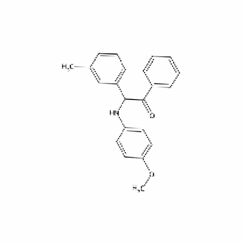 COc1ccc(NC(C(=O)c2ccccc2)c2cccc(C)c2)cc1